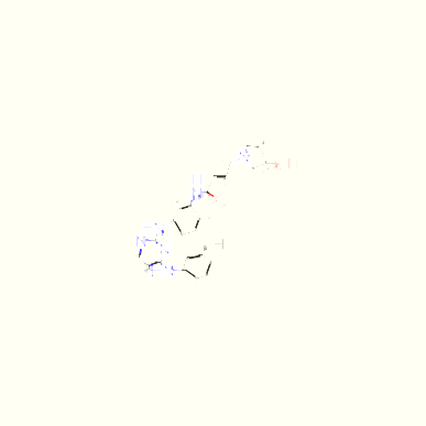 Cc1cccc(Nc2nc(Nc3cccc(NC(=O)/C=C/CN4CCC(O)C4)c3)ncc2F)c1